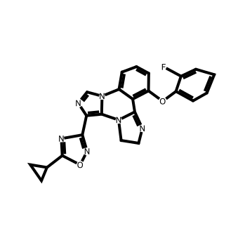 Fc1ccccc1Oc1cccc2c1C1=NCCN1c1c(-c3noc(C4CC4)n3)ncn1-2